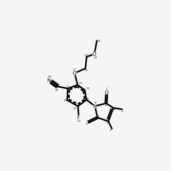 C=C1C(C)=C(C)C(=O)N1c1cc(OCCOC)c(C#N)cc1F